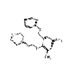 Cc1cc(C)c(OCCN2CCOCC2)c(CNc2ccccc2)c1